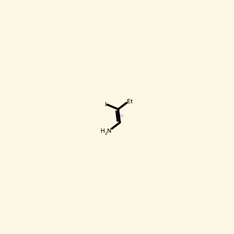 CC/C(I)=C/N